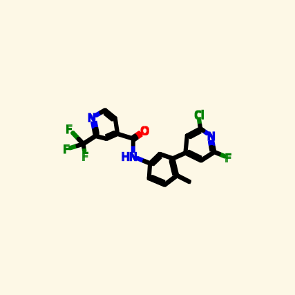 Cc1ccc(NC(=O)c2ccnc(C(F)(F)F)c2)cc1-c1cc(F)nc(Cl)c1